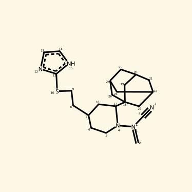 C=[N+](C#N)N1CCC(CCSc2ncc[nH]2)CC1C12CC3CC(CC(C3)C1)C2